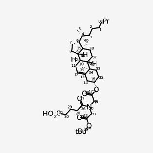 CC(C)CCC[C@@H](C)[C@H]1CC[C@H]2[C@@H]3CC=C4C[C@@H](OC(=O)CN(CC(=O)OC(C)(C)C)C(=O)CCCC(=O)O)CC[C@]4(C)[C@H]3CC[C@]12C